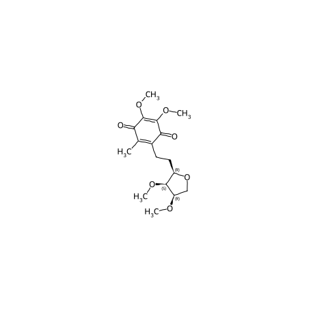 COC1=C(OC)C(=O)C(CC[C@H]2OC[C@@H](OC)[C@H]2OC)=C(C)C1=O